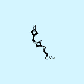 COCCOC1CN(CC2CNC2)C1